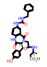 C[C@@H](CC(=O)O)NC(=O)CN1C(=O)c2cc(NC(=O)NCc3ccccc3)ccc2NC(=O)[C@@H]1Cc1ccc(O)cc1